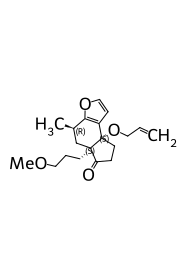 C=CCO[C@]12CCC(=O)[C@@]1(CCCOC)C[C@@H](C)c1occc12